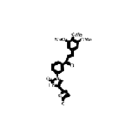 COc1cc(C=CC(=O)c2cccc(-n3cc(-c4ccc(Cl)o4)[nH]c3=O)c2)cc(OC)c1OC